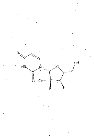 C[C@@H]1[C@@H](CO)O[C@@H](n2ccc(=O)[nH]c2=O)[C@@]1(F)Cl